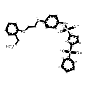 O=C(O)Cc1ccccc1OCCOc1ccc(NS(=O)(=O)c2ccc(S(=O)(=O)c3ccccc3)s2)cc1